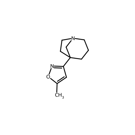 Cc1cc(C23CCCN(CC2)C3)no1